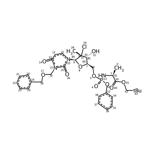 C[C@H](NP(=O)(OC[C@H]1O[C@@H](n2ccc(=O)n(COCc3ccccc3)c2=O)[C@](C)(Cl)[C@@H]1O)Oc1ccccc1)C(=O)OCC(C)(C)C